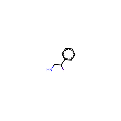 [NH]CC(I)c1ccccc1